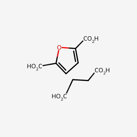 O=C(O)CCC(=O)O.O=C(O)c1ccc(C(=O)O)o1